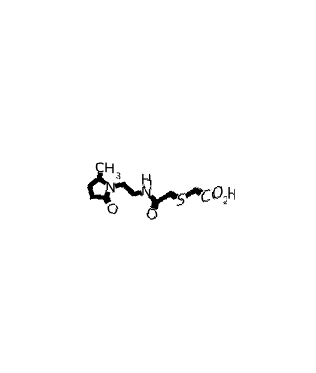 CC1CCC(=O)N1CCNC(=O)CSCC(=O)O